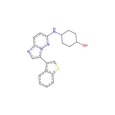 OC1CCC(Nc2ccc3ncc(-c4csc5ccccc45)n3n2)CC1